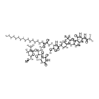 CCCCCCCCCCCCCCCCN(OCC1OC(n2ccc(=O)[nH]c2=O)C(OC)C1OP(OCCC#N)N(C(C)C)C(C)C)C(=O)CC[C@H](NC(=O)c1ccc(N(Cc2cnc3nc(NC(=O)C(C)C)[nH]c(=O)c3n2)C(=O)C(F)(F)F)cc1)C(=O)OC